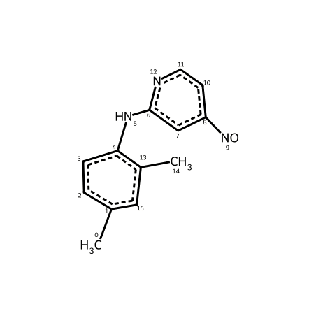 Cc1ccc(Nc2cc(N=O)ccn2)c(C)c1